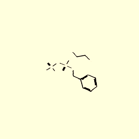 NCCO.O=P(O)(O)OP(=O)(O)OCc1ccccc1